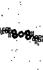 CC(C)(C)OC(=O)N[C@@H]1CCCc2c1cccc2N1CCN(c2cccc3c2CCC[C@H]3NC(=O)OC(C)(C)C)CC1